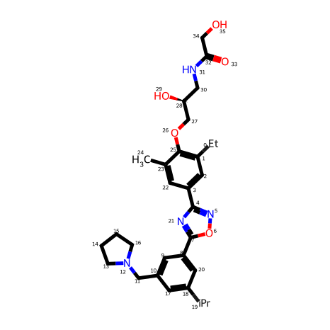 CCc1cc(-c2noc(-c3cc(CN4CCCC4)cc(C(C)C)c3)n2)cc(C)c1OC[C@@H](O)CNC(=O)CO